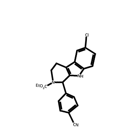 CCOC(=O)N1CCc2c([nH]c3ccc(Cl)cc23)C1c1ccc(C#N)cc1